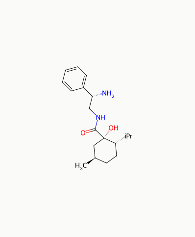 CC(C)[C@@H]1CC[C@@H](C)C[C@@]1(O)C(=O)NC[C@@H](N)c1ccccc1